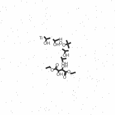 CC(C)(C)OO.CC(C)O.CC(C)O.CC(C)O.CC(C)O.CCOC(=O)C(O)C(O)C(=O)OCC.[Ti]